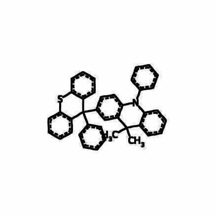 CC1(C)c2ccccc2N(c2ccccc2)c2ccc(C3(c4ccccc4)c4ccccc4Sc4ccccc43)cc21